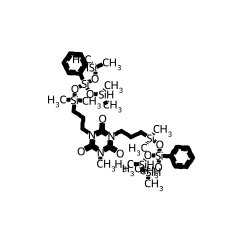 Cn1c(=O)n(CCC[Si](C)(C)O[Si](O[SiH](C)C)(O[SiH](C)C)c2ccccc2)c(=O)n(CCC[Si](C)(C)O[Si](O[SiH](C)C)(O[SiH](C)C)c2ccccc2)c1=O